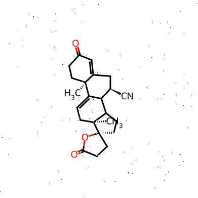 C[C@]12CCC(=O)C=C1C[C@@H](C#N)C1C2=CC[C@@]2(C)C1CC[C@@]21CCC(=O)O1